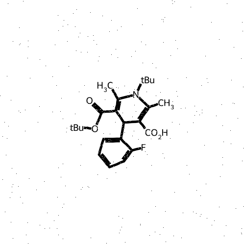 CC1=C(C(=O)O)C(c2ccccc2F)C(C(=O)OC(C)(C)C)=C(C)N1C(C)(C)C